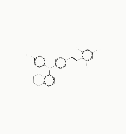 [C-]#[N+]c1cc(C#N)cc([N+]#[C-])c1C=Cc1ccc(N(c2ccc(C)cc2)c2cccc3c2CCCC3)cc1